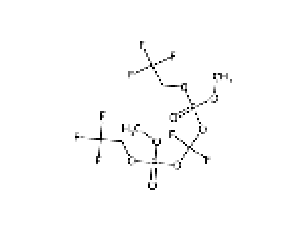 COP(=O)(OCC(F)(F)F)OC(F)(F)OP(=O)(OC)OCC(F)(F)F